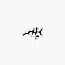 CCC[CH]C(O)(O)C(NC)NC(C)C